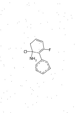 NC1(Cl)CC=CC(F)=C1c1ccccc1